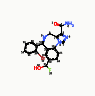 NC(=O)c1ncn2c1CN=C(c1ccccc1Br)c1cc(C(O)F)ccc1-2